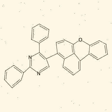 c1ccc(-c2ncc(-c3ccc4c5c(cccc35)-c3ccccc3O4)c(-c3ccccc3)n2)cc1